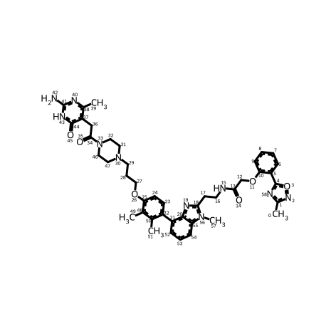 Cc1noc(-c2ccccc2OCC(=O)NCCc2nc3c(-c4ccc(OCCCN5CCN(C(=O)Cc6c(C)nc(N)[nH]c6=O)CC5)c(C)c4C)cccc3n2C)n1